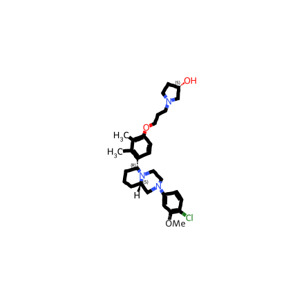 COc1cc(N2CCN3[C@@H](CCC[C@@H]3c3ccc(OCCCN4CC[C@H](O)C4)c(C)c3C)C2)ccc1Cl